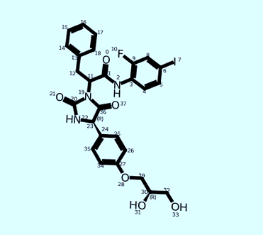 O=C(Nc1ccc(I)cc1F)C(Cc1ccccc1)N1C(=O)N[C@H](c2ccc(OC[C@H](O)CO)cc2)C1=O